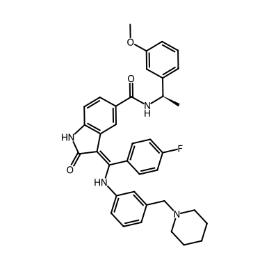 COc1cccc([C@@H](C)NC(=O)c2ccc3c(c2)/C(=C(/Nc2cccc(CN4CCCCC4)c2)c2ccc(F)cc2)C(=O)N3)c1